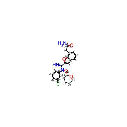 N=C(c1cc2cccc(CC(N)=O)c2o1)N(OC1CCCCO1)c1cccc(Cl)c1